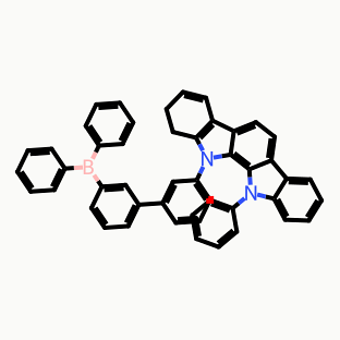 C1=Cc2c(n(-c3cccc(-c4cccc(B(c5ccccc5)c5ccccc5)c4)c3)c3c2ccc2c4ccccc4n(-c4ccccc4)c23)CC1